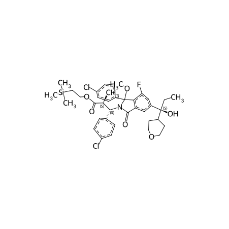 CC[C@@](O)(c1cc(F)c2c(c1)C(=O)N([C@H](c1ccc(Cl)cc1)[C@H](C)C(=O)OCC[Si](C)(C)C)C2(OC)c1ccc(Cl)cc1)C1CCOCC1